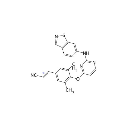 Cc1cc(/C=C/C#N)cc(C)c1Oc1ccnc(Nc2ccc3cnsc3c2)n1